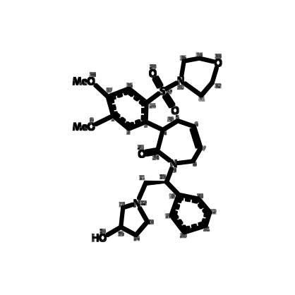 COc1cc(C2CC=CCN([C@H](CN3CCC(O)C3)c3ccccc3)C2=O)c(S(=O)(=O)N2CCOCC2)cc1OC